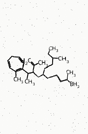 BC(C)CCCC(CCC(C)CC)CC(C(=C)C)C(C)C1=C(C)C=CCC=C1